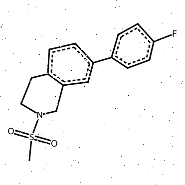 CS(=O)(=O)N1CCc2ccc(-c3ccc(F)cc3)cc2C1